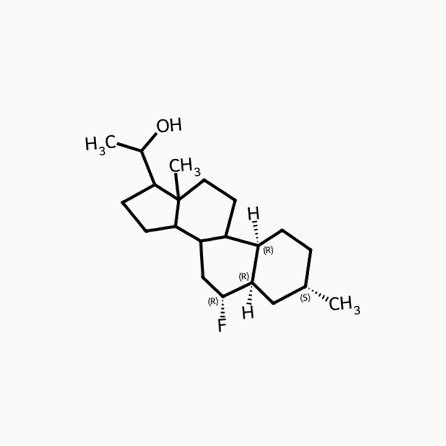 CC(O)C1CCC2C3C[C@@H](F)[C@@H]4C[C@@H](C)CC[C@@H]4C3CCC12C